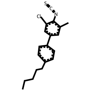 CCCCCc1ccc(-c2cc(C)c(N=C=S)c(Cl)c2)cc1